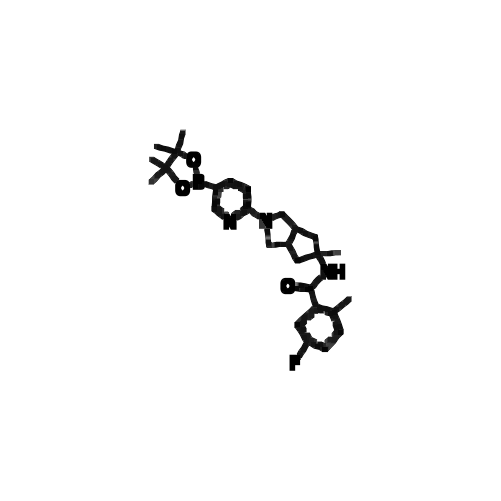 Cc1ccc(F)cc1C(=O)NC1(C)CC2CN(c3ccc(B4OC(C)(C)C(C)(C)O4)cn3)CC2C1